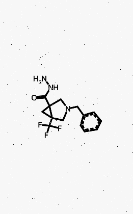 NNC(=O)C12CN(Cc3ccccc3)CC1(C(F)(F)F)C2